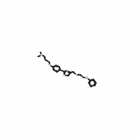 CN(C)CCCOc1ccc(-c2nc(CSCCOc3ccccc3)co2)cc1